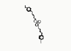 O=C(OCCCCCc1ccc(I)cc1)OCCCCCc1ccc(I)cc1